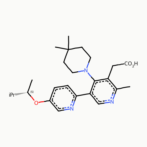 Cc1ncc(-c2ccc(O[C@@H](C)C(C)C)cn2)c(N2CCC(C)(C)CC2)c1CC(=O)O